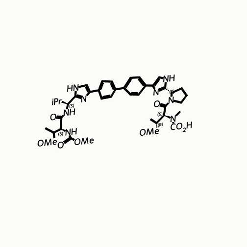 COC(=O)N[C@H](C(=O)N[C@H](c1nc(-c2ccc(-c3ccc(-c4c[nH]c([C@@H]5CCCN5C(=O)[C@H]([C@@H](C)OC)N(C)C(=O)O)n4)cc3)cc2)c[nH]1)C(C)C)C(C)OC